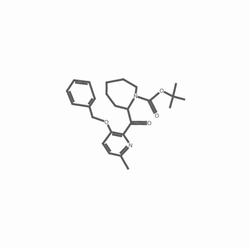 Cc1ccc(OCc2ccccc2)c(C(=O)C2CCCCCN2C(=O)OC(C)(C)C)n1